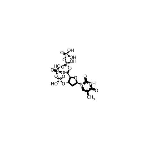 Cc1cn([C@H]2C[C@H](OP(=O)(O)OP(=O)(O)O)[C@@H](COP(=O)(O)OP(=O)(O)O)O2)c(=O)[nH]c1=O